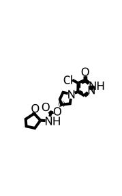 O=C(NC1CCCC1=O)O[C@@H]1CCN(c2cn[nH]c(=O)c2Cl)C1